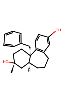 C[C@@]1(O)CC[C@@]2(Cc3ccccc3)c3ccc(O)cc3CCC[C@H]2C1